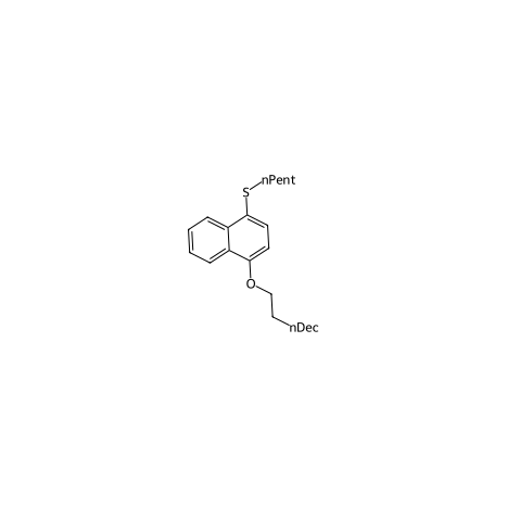 CCCCCCCCCCCCOc1ccc(SCCCCC)c2ccccc12